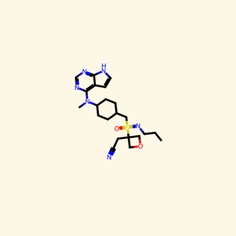 CCCN=S(=O)(CC1CCC(N(C)c2ncnc3[nH]ccc23)CC1)C1(CC#N)COC1